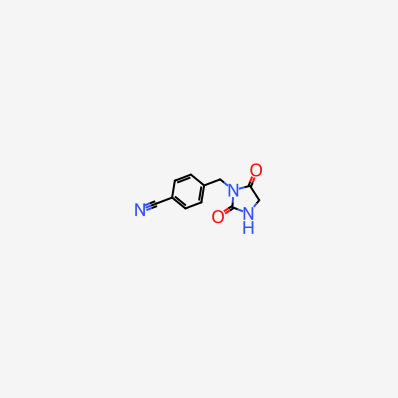 N#Cc1ccc(CN2C(=O)CNC2=O)cc1